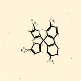 CC1=CC2=C(CC1)c1ccc(C)cc1C2(c1ccc(C)s1)c1ccc(C)s1